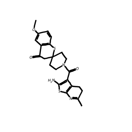 COc1ccc2c(c1)C(=O)CC1(CCN(C(=O)c3c(N)sc4c3CCC(C)=N4)CC1)S2